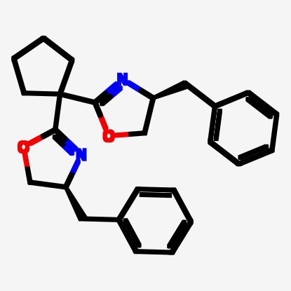 c1ccc(C[C@H]2COC(C3(C4=N[C@@H](Cc5ccccc5)CO4)CCCC3)=N2)cc1